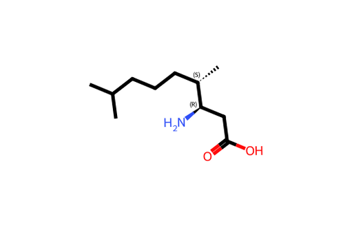 CC(C)CCC[C@H](C)[C@H](N)CC(=O)O